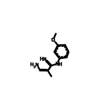 COc1cccc(NC(=N)/C(C)=C\N)c1